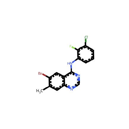 Cc1cc2ncnc(Nc3cccc(Cl)c3F)c2cc1Br